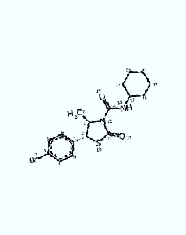 C[C@@H]1[C@@H](c2ccc(Br)cc2)SC(=O)N1C(=O)NC1CCCCC1